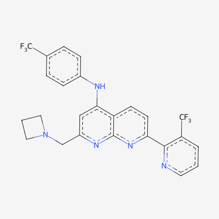 FC(F)(F)c1ccc(Nc2cc(CN3CCC3)nc3nc(-c4ncccc4C(F)(F)F)ccc23)cc1